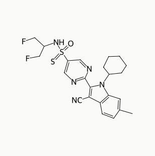 Cc1ccc2c(C#N)c(-c3ncc(S(=O)(=S)NC(CF)CF)cn3)n(C3CCCCC3)c2c1